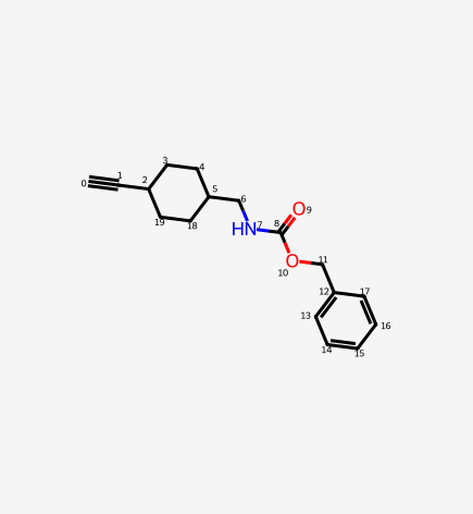 C#CC1CCC(CNC(=O)OCc2ccccc2)CC1